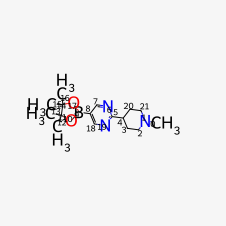 CN1CCC(c2ncc(B3OC(C)(C)C(C)(C)O3)cn2)CC1